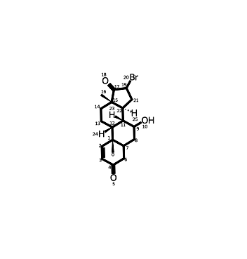 C[C@]12C=CC(=O)CC1CC(O)[C@@H]1[C@H]2CC[C@]2(C)C(=O)C(Br)C[C@@H]12